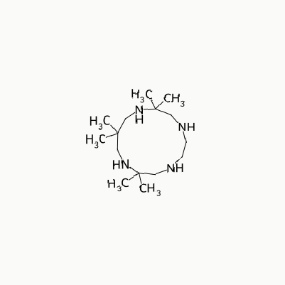 CC1(C)CNC(C)(C)CNCCNCC(C)(C)NC1